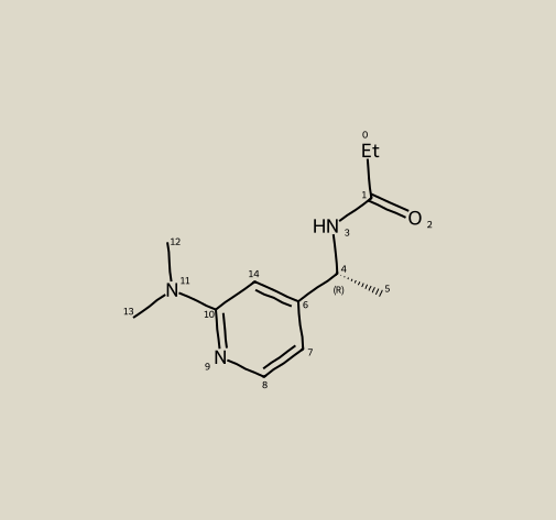 CCC(=O)N[C@H](C)c1ccnc(N(C)C)c1